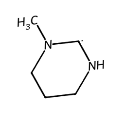 CN1[CH]NCCC1